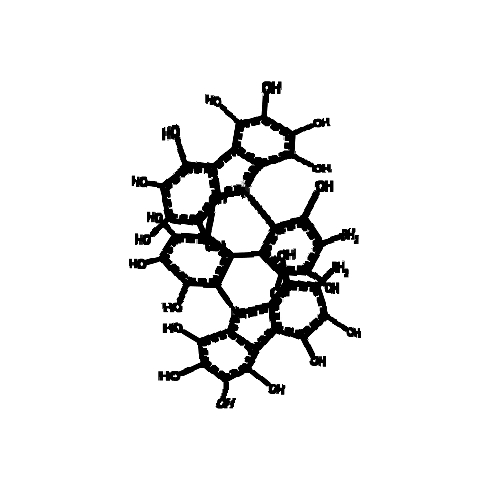 Bc1c(O)c(O)c(-c2c(O)c(O)c(O)c(O)c2-n2c3c(O)c(B)c(O)c(O)c3c3c(O)c(O)c(O)c(O)c32)c(-n2c3c(O)c(O)c(O)c(O)c3c3c(O)c(O)c(O)c(O)c32)c1O